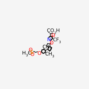 Cc1cc(OCCCS(C)(=O)=O)cc(C)c1-c1cccc2c1CCC2Oc1ncc2c(c1C(F)(F)F)OC[C@@H]2CC(=O)O